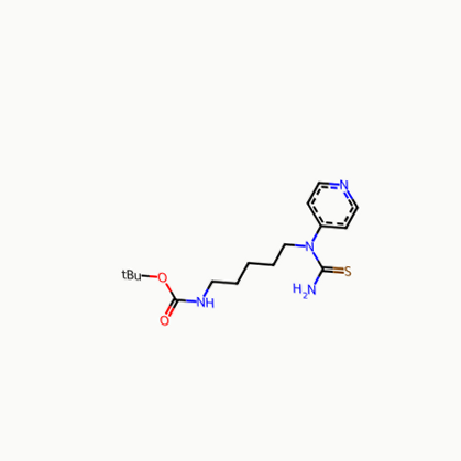 CC(C)(C)OC(=O)NCCCCCN(C(N)=S)c1ccncc1